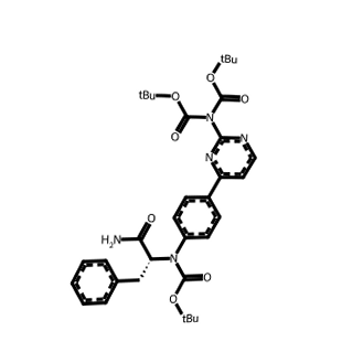 CC(C)(C)OC(=O)N(C(=O)OC(C)(C)C)c1nccc(-c2ccc(N(C(=O)OC(C)(C)C)[C@H](Cc3ccccc3)C(N)=O)cc2)n1